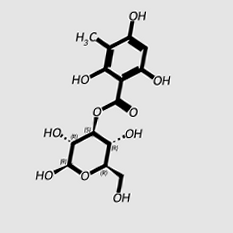 Cc1c(O)cc(O)c(C(=O)O[C@@H]2[C@@H](O)[C@H](O)O[C@H](CO)[C@H]2O)c1O